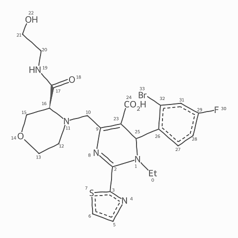 CCN1C(c2nccs2)=NC(CN2CCOC[C@H]2C(=O)NCCO)=C(C(=O)O)C1c1ccc(F)cc1Br